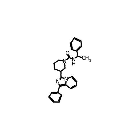 CC(NC(=O)N1CCCC(c2nc(-c3ccccc3)c3ccccn23)C1)c1ccccc1